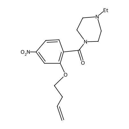 C=CCCOc1cc([N+](=O)[O-])ccc1C(=O)N1CCN(CC)CC1